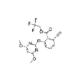 C#Cc1cccc(Oc2nc(OC)cc(OC)n2)c1C(=O)OCC(F)(F)F